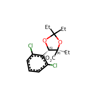 CCC1(CC)O[C@@H](c2c(Cl)cccc2Cl)[C@](CC)(C(=O)O)O1